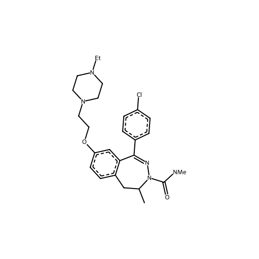 CCN1CCN(CCOc2ccc3c(c2)C(c2ccc(Cl)cc2)=NN(C(=O)NC)C(C)C3)CC1